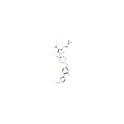 N#CCC1(n2cc(C(N)=O)c(NC(=O)C3CC3)n2)CCN(Cc2ccc(-c3ccn(CC(F)(F)F)n3)c(F)c2)CC1